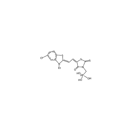 CCN1/C(=C/C=C2/SC(=S)N(C[PH](O)(O)O)C2=O)Sc2ccc(Cl)cc21